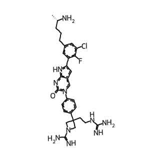 C[C@H](N)CCCc1cc(Cl)c(F)c(-c2cc3cn(-c4ccc(C5(CCNC(=N)N)CN(C(=N)N)C5)cc4)c(=O)nc3[nH]2)c1